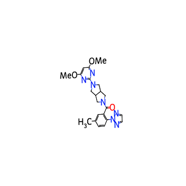 COc1cc(OC)nc(N2CC3CN(C(=O)c4cc(C)ccc4-n4nccn4)CC3C2)n1